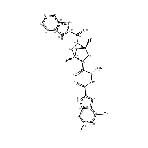 CC(C)(C)[C@H](NC(=O)c1cc2c(F)cc(F)cc2[nH]1)C(=O)N1C[C@@H]2C[C@H]1CN2C(=O)c1nc2ccccc2[nH]1